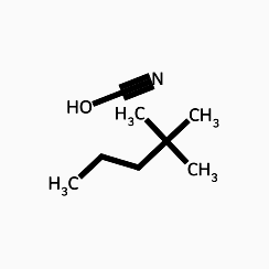 CCCC(C)(C)C.N#CO